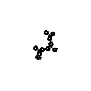 CC1(C)c2cc3c4cc(-c5ccc6c(c5)c5cc(-c7ccc8c(c7)c7ccccc7n8-c7ccccc7)ccc5n6-c5ccccc5)ccc4n(-c4ccccc4)c3cc2C(C)(C)C1(C)C